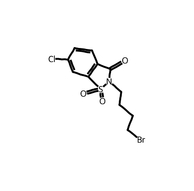 O=C1c2ccc(Cl)cc2S(=O)(=O)N1CCCCBr